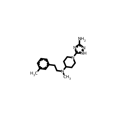 Cc1cccc(CCN(C)C2CCN(c3nc(N)n[nH]3)CC2)c1